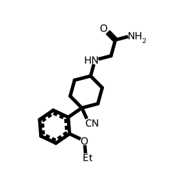 CCOc1ccccc1C1(C#N)CCC(NCC(N)=O)CC1